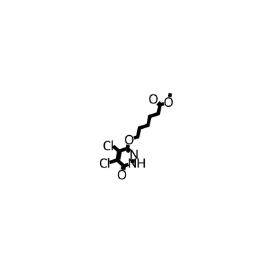 COC(=O)CCCCCOc1n[nH]c(=O)c(Cl)c1Cl